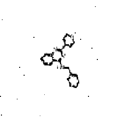 c1ccc(CNc2nc(-c3ccncc3)nc3ccccc23)cc1